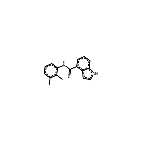 Cc1cccc(NC(=O)c2cccc3[nH]ccc23)c1C